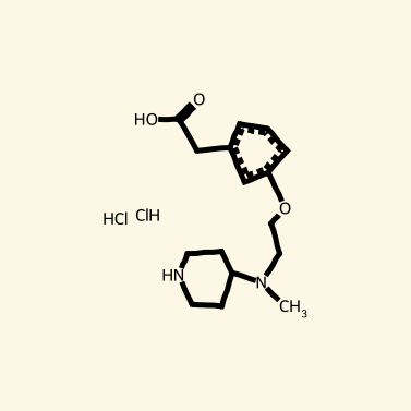 CN(CCOc1cccc(CC(=O)O)c1)C1CCNCC1.Cl.Cl